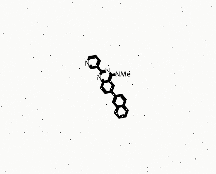 CNc1nc(-c2cccnc2)nc2ccc(-c3ccc4ccccc4c3)cc12